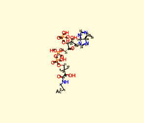 CC(=O)CCNC(=O)[C@H](O)C(C)(C)COP(=O)(O)OP(=O)(O)OC[C@H]1O[C@@H](n2cnc3c(C)ncnc32)[C@@H](O)C1OP(=O)(O)O